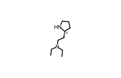 CCN(CC)CC[C@@H]1CCCN1